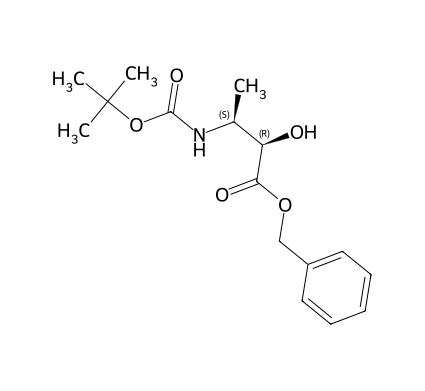 C[C@H](NC(=O)OC(C)(C)C)[C@@H](O)C(=O)OCc1ccccc1